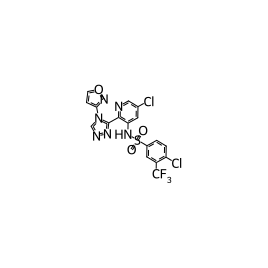 O=S(=O)(Nc1cc(Cl)cnc1-c1nncn1-c1ccon1)c1ccc(Cl)c(C(F)(F)F)c1